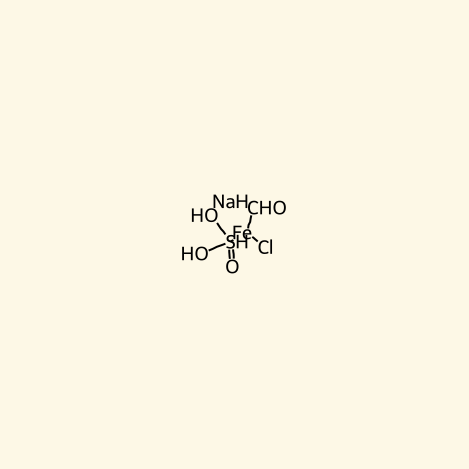 O=[CH][Fe]([Cl])[SH](=O)(O)O.[NaH]